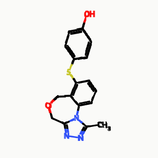 Cc1nnc2n1-c1cccc(Sc3ccc(O)cc3)c1COC2